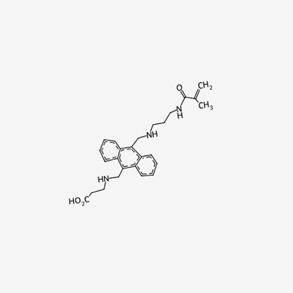 C=C(C)C(=O)NCCCNCc1c2ccccc2c(CNCCC(=O)O)c2ccccc12